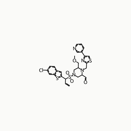 C=CC(c1cc2ccc(Cl)cc2s1)S(=O)(=O)N1CC(C=O)N(Cc2nc(-c3cccnc3)cs2)C(COC)C1